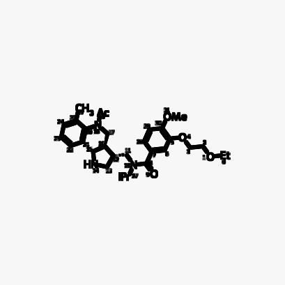 CCOCCOc1cc(C(=O)N(C[C@@H]2CNC[C@H]2CN(C(C)=O)c2ccccc2C)C(C)C)ccc1OC